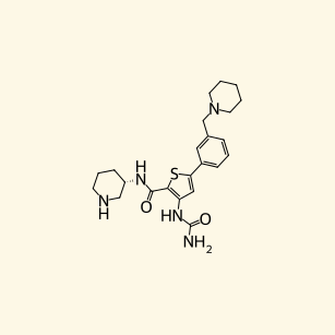 NC(=O)Nc1cc(-c2cccc(CN3CCCCC3)c2)sc1C(=O)N[C@H]1CCCNC1